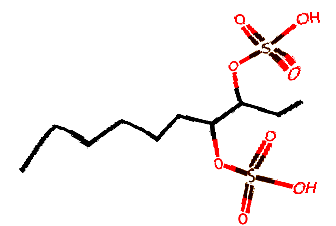 CCCCCCC(OS(=O)(=O)O)C(CC)OS(=O)(=O)O